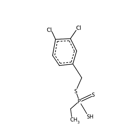 CCP(=S)(S)SCc1ccc(Cl)c(Cl)c1